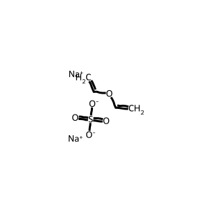 C=COC=C.O=S(=O)([O-])[O-].[Na+].[Na+]